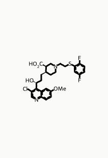 COc1ccc2ncc(Cl)c([C@H](O)CC[C@@H]3CCN(CCSc4cc(F)ccc4F)C[C@@H]3C(=O)O)c2c1